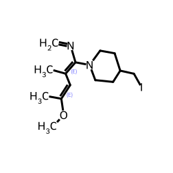 C=N/C(=C(C)/C=C(\C)OC)N1CCC(CI)CC1